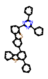 c1ccc(-c2nc(-c3ccccc3)nc(-c3cccc4c3sc3cc(-c5ccc(-c6ccccc6)c6sc7ccccc7c56)ccc34)n2)cc1